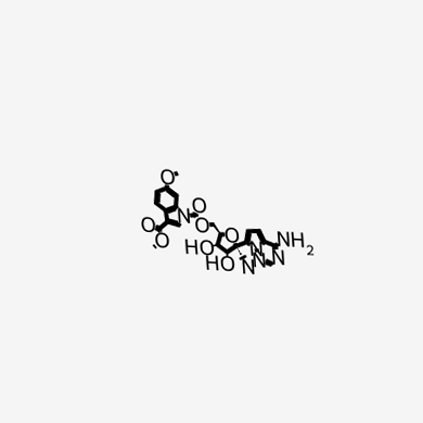 COC(=O)c1cn(C(=O)OC[C@H]2O[C@@](C#N)(c3ccc4c(N)ncnn34)[C@H](O)[C@@H]2O)c2cc(OC)ccc12